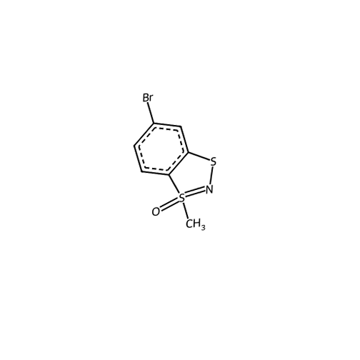 CS1(=O)=NSc2cc(Br)ccc21